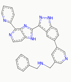 c1ccc(CNCc2cncc(-c3ccc4[nH]nc(-c5nc6c(-c7ccccn7)nccc6[nH]5)c4c3)c2)cc1